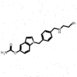 CC(C)CCNCc1ccc(Cn2ccc3cc(OC(N)=O)ccc32)cc1